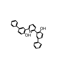 Oc1ccc(-c2ccccc2)cc1-c1cccc(-c2cc(-c3ccccc3)ccc2O)n1